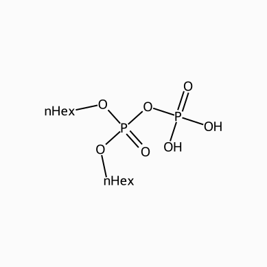 CCCCCCOP(=O)(OCCCCCC)OP(=O)(O)O